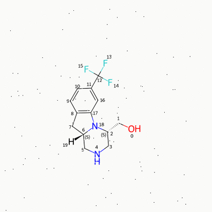 OC[C@@H]1CNC[C@@H]2Cc3ccc(C(F)(F)F)cc3N12